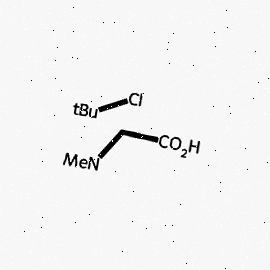 CC(C)(C)Cl.CNCC(=O)O